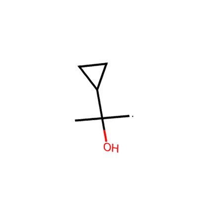 [CH2]C(C)(O)C1CC1